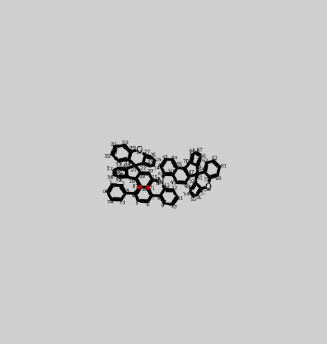 c1ccc(-c2ccc(-c3ccccc3N(c3ccc4c(c3)C3(c5ccccc5Oc5ccccc53)c3ccccc3-4)c3cccc4c5c(ccc34)C3(c4ccccc4Oc4ccccc43)c3ccccc3-5)cc2)cc1